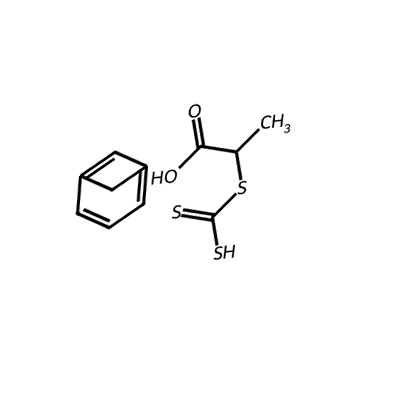 CC(SC(=S)S)C(=O)O.c1cc2cc(c1)C2